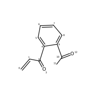 C=CC(=O)c1ccccc1C(C)=O